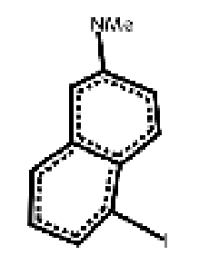 CNc1ccc2c(I)cccc2c1